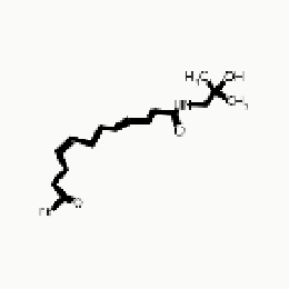 CCC(=O)CC/C=C\CC/C=C/C=C/C(=O)NCC(C)(C)O